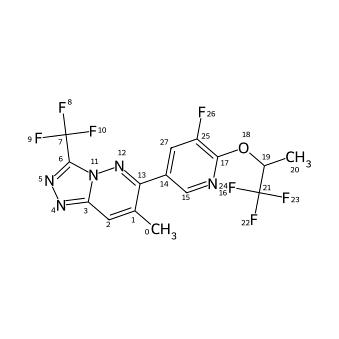 Cc1cc2nnc(C(F)(F)F)n2nc1-c1cnc(OC(C)C(F)(F)F)c(F)c1